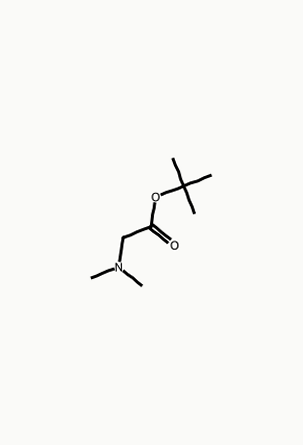 CN(C)CC(=O)OC(C)(C)C